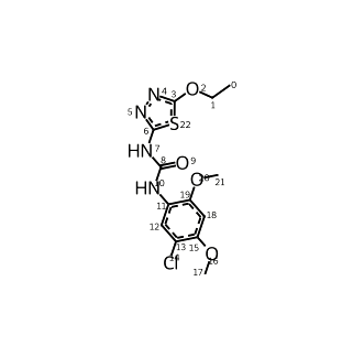 CCOc1nnc(NC(=O)Nc2cc(Cl)c(OC)cc2OC)s1